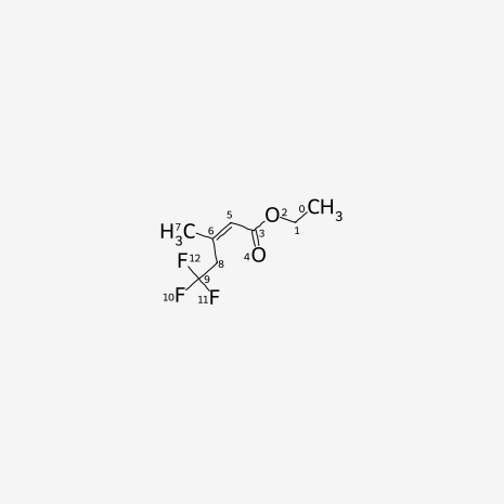 CCOC(=O)C=C(C)CC(F)(F)F